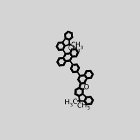 CC1(C)c2ccccc2-c2c1ccc1c2oc2c3ccccc3c(-c3ccc(-c4c5ccccc5c(-c5cccc6c5C(C)(C)c5ccccc5-6)c5ccccc45)cc3)cc12